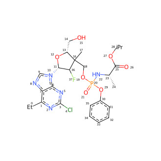 CCc1nc(Cl)nc2c1ncn2[C@@H]1O[C@H](CO)C(C)(COP(=O)(N[C@@H](C)C(=O)OC(C)C)Oc2ccccc2)C1F